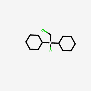 ClC[Si](Cl)(C1CCCCC1)C1CCCCC1